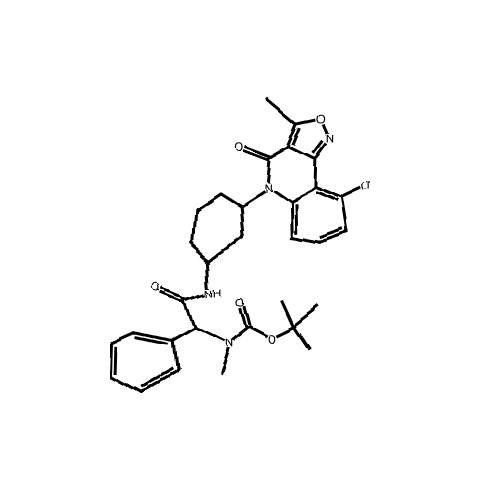 Cc1onc2c1c(=O)n(C1CCCC(NC(=O)C(c3ccccc3)N(C)C(=O)OC(C)(C)C)C1)c1cccc(Cl)c21